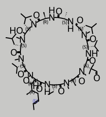 C/C=C/C[C@@H](C)[C@H]1ON2C(=O)[C@H](C(C)C)N(C)C(=O)[C@H](CC(C)C)N(C)C(O)[C@H](CC(C)C)N(C)C(=O)[C@@H](C)NC(=O)[C@H](C)NC(=O)[C@H](CC(C)C)N(C)C(=O)[C@H](C(C)C)NC(=O)[C@H](C(C)(C)C=O)N(C)C(=O)[C@@H](C)N(C)C(=O)[C@H](CC)NC(=O)[C@H]12